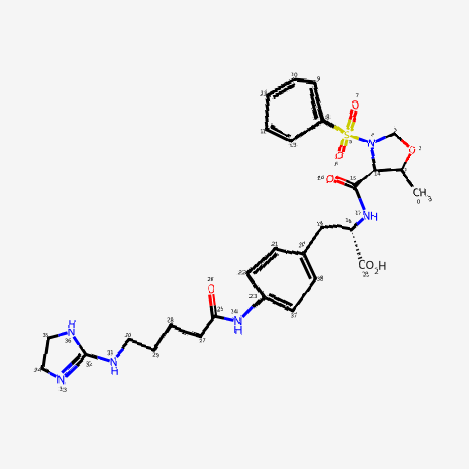 CC1OCN(S(=O)(=O)c2ccccc2)[C@@H]1C(=O)N[C@@H](Cc1ccc(NC(=O)CCCCNC2=NCCN2)cc1)C(=O)O